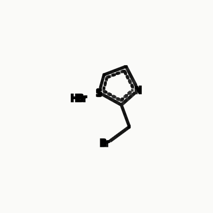 Br.BrCc1nccs1